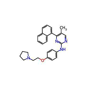 Cc1cnc(Nc2ccc(OCCN3CCCC3)cc2)nc1-c1cccc2ccccc12